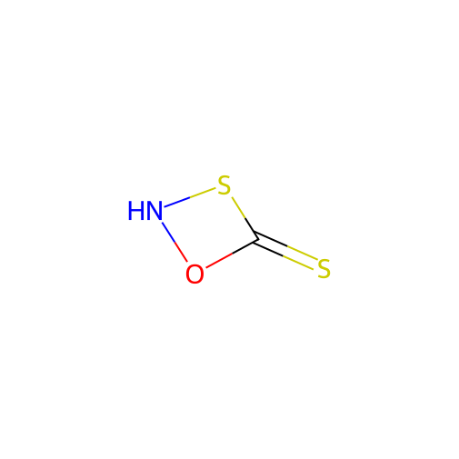 S=c1o[nH]s1